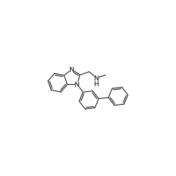 CNCc1nc2ccccc2n1-c1cccc(-c2ccccc2)c1